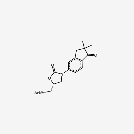 CC(=O)NC[C@H]1CN(c2ccc3c(c2)CC(C)(C)C3=O)C(=O)O1